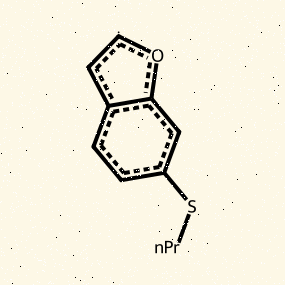 CCCSc1ccc2c[c]oc2c1